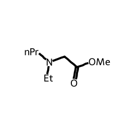 CCCN(CC)CC(=O)OC